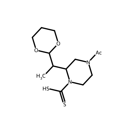 CC(=O)N1CCN(C(=S)S)C(C(C)C2OCCCO2)C1